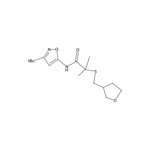 CC(C)(SCC1CCOC1)C(=O)Nc1cc(C(C)(C)C)no1